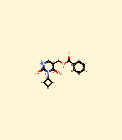 O=C(OCc1c[nH]c(=O)n(C2CCC2)c1=O)c1ccccc1